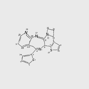 c1csc(C2=NC(c3cccs3)C(N3CCC3)=Nc3ncccc32)c1